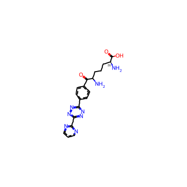 NC(CCC[C@H](N)C(=O)O)C(=O)c1ccc(-c2nnc(-c3ncccn3)nn2)cc1